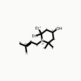 CCC1(CC)CC(O)CC(C)(C)N1CC=C(C)C